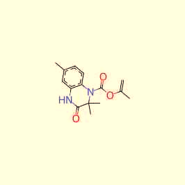 C=C(C)OC(=O)N1c2ccc(C)cc2NC(=O)C1(C)C